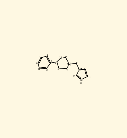 c1ccc(C2CCN(Cn3ccnc3)CC2)cc1